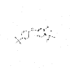 CC(C)(C)c1ccc(Oc2ccc(C(F)(F)F)c(F)c2)cc1